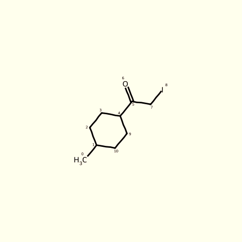 CC1CCC(C(=O)CI)CC1